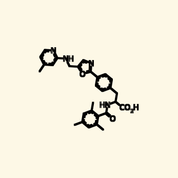 Cc1ccnc(NCc2cnc(-c3ccc(CC(NC(=O)c4c(C)cc(C)cc4C)C(=O)O)cc3)o2)c1